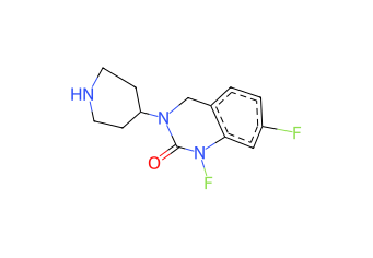 O=C1N(F)c2cc(F)ccc2CN1C1CCNCC1